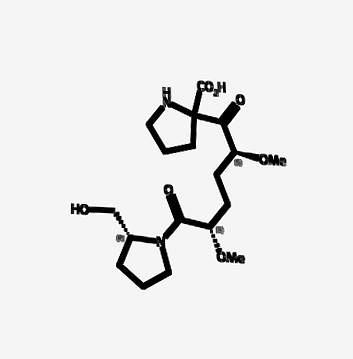 CO[C@@H](CC[C@H](OC)C(=O)C1(C(=O)O)CCCN1)C(=O)N1CCC[C@@H]1CO